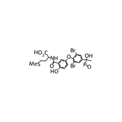 CSCCC(NC(=O)c1cc(Oc2c(Br)cc(C(C)(O)P=O)cc2Br)ccc1O)C(=O)O